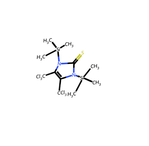 C[Si](C)(C)n1c(C(Cl)(Cl)Cl)c(C(Cl)(Cl)Cl)n([Si](C)(C)C)c1=S